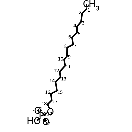 CCCCCCCCCCCCCCCCCCCOP([O])(=O)O